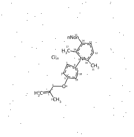 C=C(C)COc1ccc(-[n+]2c(C)ccc(CCCCCCCCC)c2C)cc1.[Cl-]